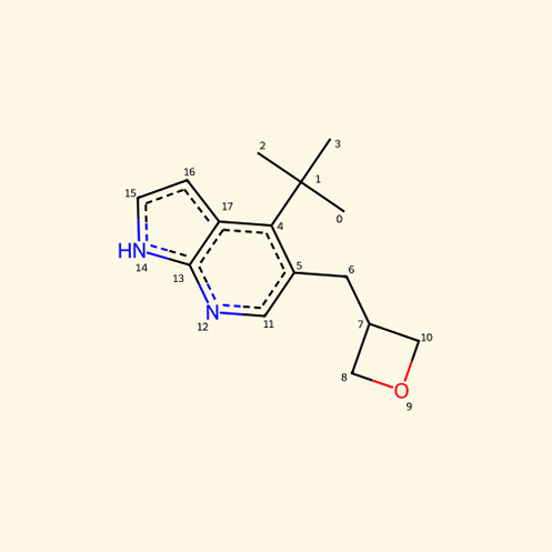 CC(C)(C)c1c(CC2COC2)cnc2[nH]ccc12